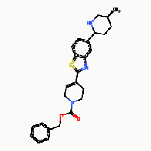 C[C@H]1CCC(c2ccc3sc(C4=CCN(C(=O)OCc5ccccc5)CC4)nc3c2)NC1